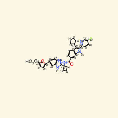 Cn1c(C2(NC(=O)c3ccc4c(C5CCCC5)c(-c5ccc(F)cn5)n(C)c4c3)CCC2)nc2ccc(-c3ccc(C(=O)O)o3)cc21